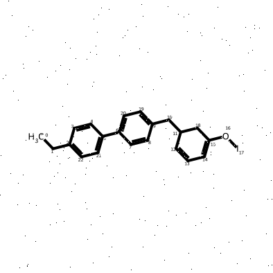 CCc1ccc(-c2ccc(CC3C=CC=C(OI)C3)cc2)cc1